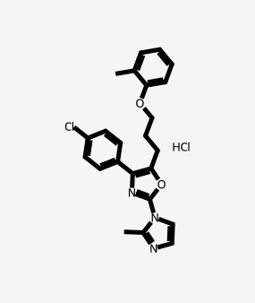 Cc1ccccc1OCCCc1oc(-n2ccnc2C)nc1-c1ccc(Cl)cc1.Cl